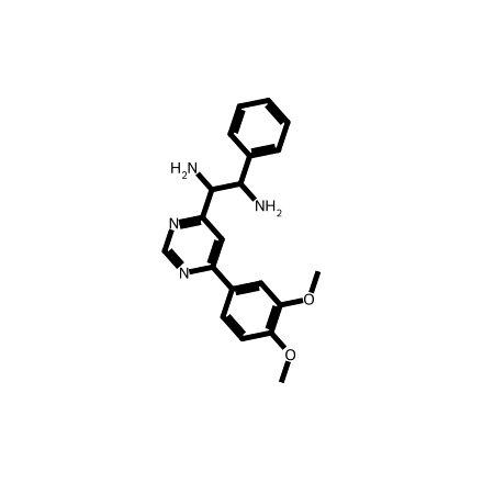 COc1ccc(-c2cc(C(N)C(N)c3ccccc3)ncn2)cc1OC